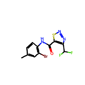 Cc1ccc(NC(=O)c2snnc2C(F)F)c(Br)c1